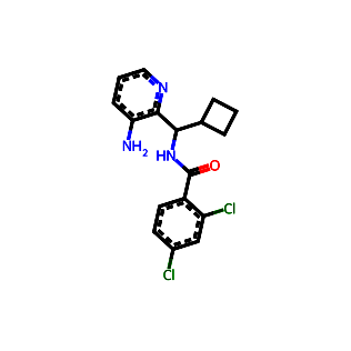 Nc1cccnc1C(NC(=O)c1ccc(Cl)cc1Cl)C1CCC1